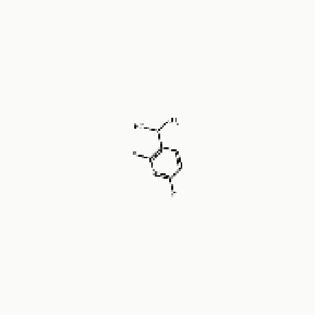 CC(O)c1ccc(Cl)nc1F